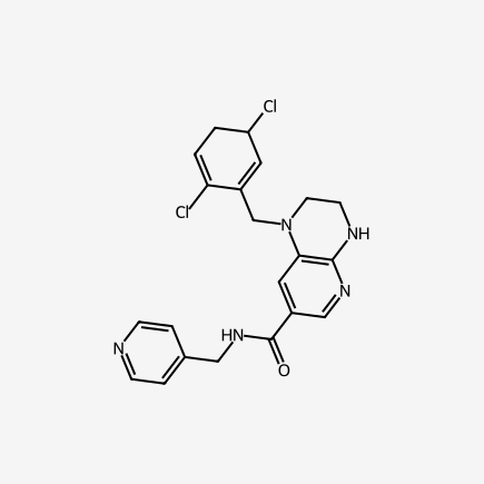 O=C(NCc1ccncc1)c1cnc2c(c1)N(CC1=CC(Cl)CC=C1Cl)CCN2